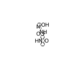 CN1CC=CC(O)=C1CCNC(=O)c1cc2[nH]c3ccccc3c(=O)c2cc1F